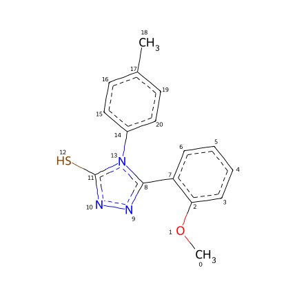 COc1ccccc1-c1nnc(S)n1-c1ccc(C)cc1